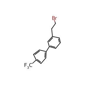 FC(F)(F)c1ccc(-c2cccc(CCBr)c2)cc1